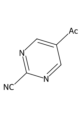 CC(=O)c1cnc(C#N)nc1